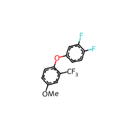 COc1ccc(Oc2ccc(F)c(F)c2)c(C(F)(F)F)c1